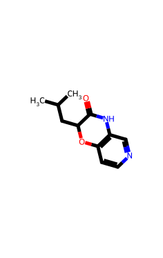 CC(C)CC1Oc2ccncc2NC1=O